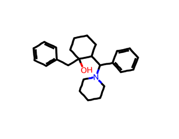 OC1(Cc2ccccc2)CCCCC1C(c1ccccc1)N1CCCCC1